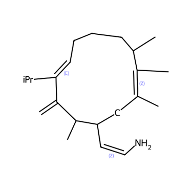 C=C1/C(C(C)C)=C/CCCC(C)/C(C)=C(/C)CC(/C=C\N)C1C